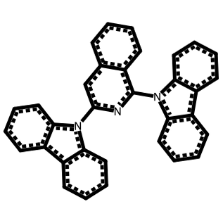 c1ccc2c(-n3c4ccccc4c4ccccc43)nc(-n3c4ccccc4c4ccccc43)cc2c1